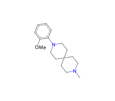 COc1ccccc1N1CCC2(CCN(C)CC2)CC1